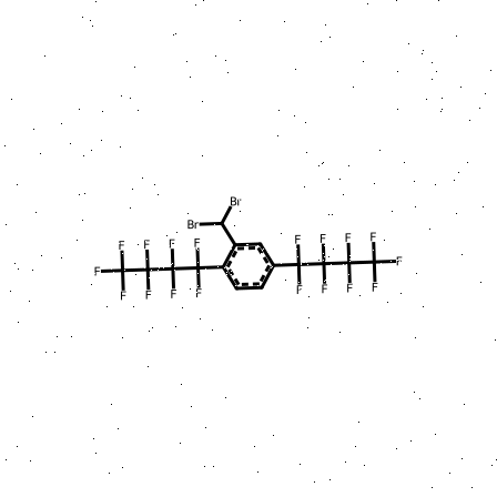 FC(F)(F)C(F)(F)C(F)(F)C(F)(F)c1ccc(C(F)(F)C(F)(F)C(F)(F)C(F)(F)F)c(C(Br)Br)c1